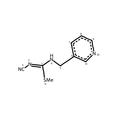 CS/C(=N\C#N)NCc1cccnc1